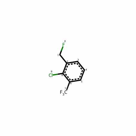 FCc1cccc(C(F)(F)F)c1Cl